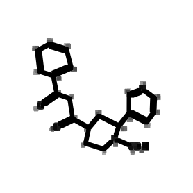 O=C(CC(=O)C1CCN(C(=O)O)C(c2cccnc2)C1)c1ccccc1